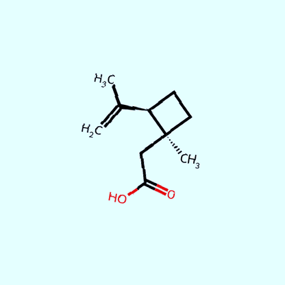 C=C(C)[C@H]1CC[C@@]1(C)CC(=O)O